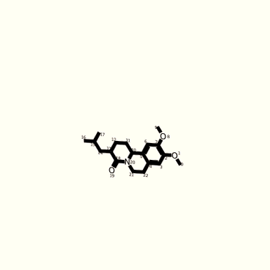 COc1cc2c(cc1OC)C1CCC(CC(C)C)C(=O)N1CC2